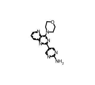 Nc1ncc(-c2nc(N3CCOCC3)c3ncccc3n2)cn1